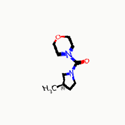 C[C@@H]1CCN(C(=O)N2CCOCC2)C1